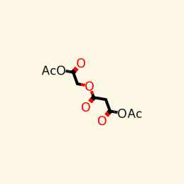 CC(=O)OC(=O)COC(=O)CC(=O)OC(C)=O